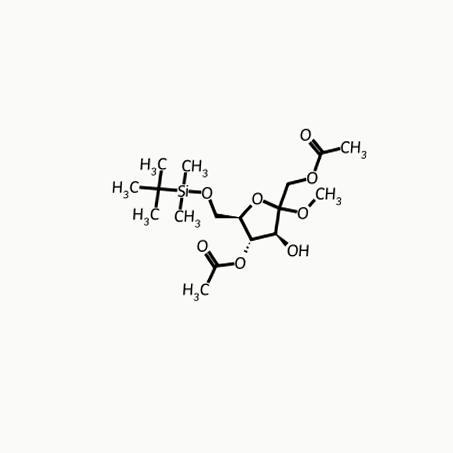 COC1(COC(C)=O)O[C@H](CO[Si](C)(C)C(C)(C)C)[C@@H](OC(C)=O)[C@@H]1O